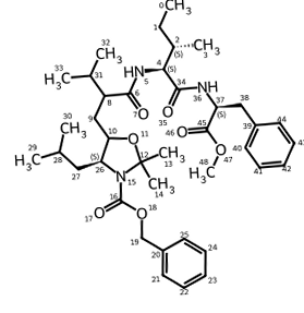 CC[C@H](C)[C@H](NC(=O)C(CC1OC(C)(C)N(C(=O)OCc2ccccc2)[C@H]1CC(C)C)C(C)C)C(=O)N[C@@H](Cc1ccccc1)C(=O)OC